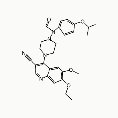 CCOc1cc2ncc(C#N)c(N3CCN(N(C=O)c4ccc(OC(C)C)cc4)CC3)c2cc1OC